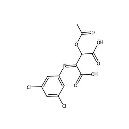 CC(=O)OC(C(=O)O)C(=Nc1cc(Cl)cc(Cl)c1)C(=O)O